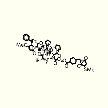 COC1=CC(=O)N(C(=O)[C@@H](OC(=O)[C@]2(C(=O)C(NC(=O)[C@H](C(C)C)N(C)C)C(C)C)CCCN2C(=O)[C@@H]2CCCN2C(=O)[C@H](C(C)C)N(C)C(=O)OCOC(=O)C2CCC(CN3C(=O)CC(SC)C3=O)CC2)C(C)C)[C@H]1Cc1ccccc1